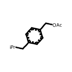 CC(=O)OCc1ccc(CC(C)C)cc1